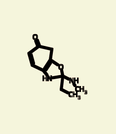 CCC1(NC)NC2=C(CC(=O)C=C2)O1